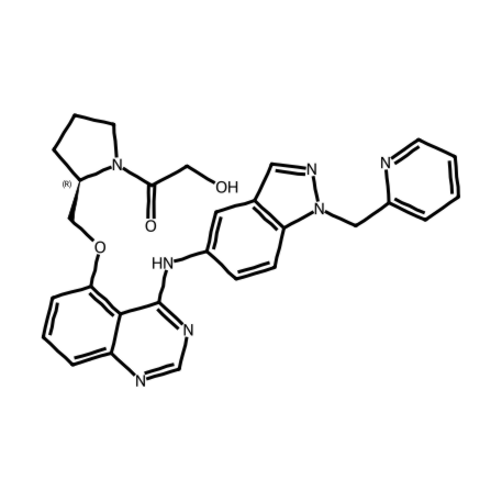 O=C(CO)N1CCC[C@@H]1COc1cccc2ncnc(Nc3ccc4c(cnn4Cc4ccccn4)c3)c12